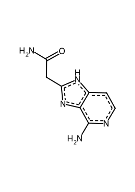 NC(=O)Cc1nc2c(N)nccc2[nH]1